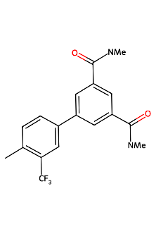 CNC(=O)c1cc(C(=O)NC)cc(-c2ccc(C)c(C(F)(F)F)c2)c1